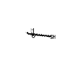 [C]#CCCCNC(=O)CCCCCCCCCCCCCCCS